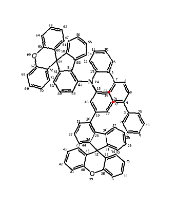 c1ccc(-c2ccc(-c3ccccc3N(c3cccc(-c4cccc5c4-c4ccccc4C54c5ccccc5Oc5ccccc54)c3)c3cccc4c3-c3ccccc3C43c4ccccc4Oc4ccccc43)cc2)cc1